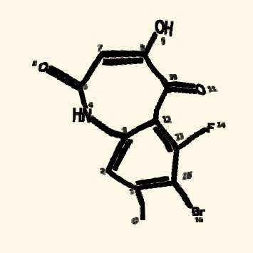 Cc1cc2[nH]c(=O)cc(O)c(=O)c2c(F)c1Br